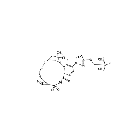 CC1(C)CC2CCCn3ncc(c3S)S(=O)(=O)NC(=O)c3ccc(-n4ccc(OCC(C)(C)C(F)(F)F)n4)nc3N1C2